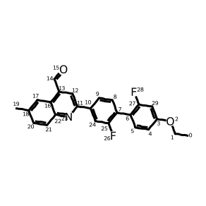 CCOc1ccc(-c2ccc(-c3cc(C=O)c4cc(C)ccc4n3)cc2F)c(F)c1